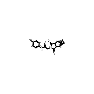 O=C(CN1C(=O)C2C(C1=O)C1CCC2C12CC2)Nc1ccc(Cl)cc1